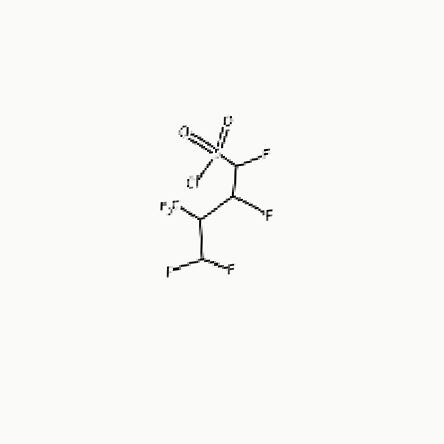 O=S(=O)(Cl)C(F)C(F)C(C(F)F)C(F)(F)F